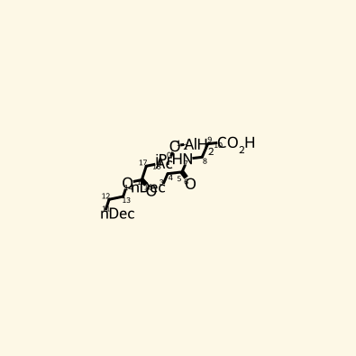 CC(C)[O][AlH2].CCCCCCCCCCCC(=O)NCCC(=O)O.CCCCCCCCCCCCOC(=O)CC(C)=O